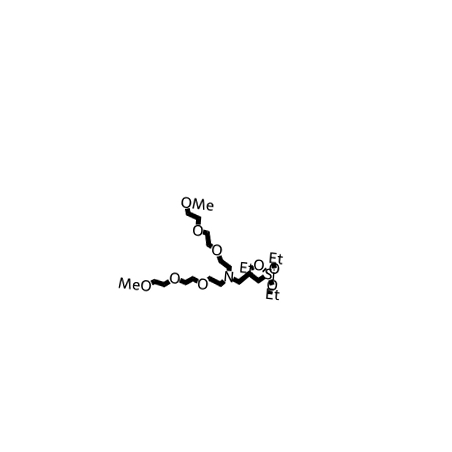 CCO[Si](CCCN(CCOCCOCCOC)CCOCCOCCOC)(OCC)OCC